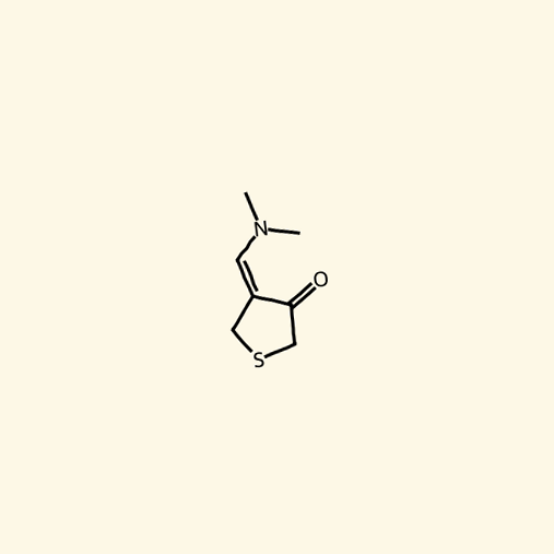 CN(C)C=C1CSCC1=O